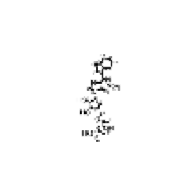 O=P(O)(O)CP(=O)(O)OC[C@H]1O[C@@H](n2cnc3c(-n4ccc5ccccc54)nc(Cl)nc32)[C@@H](O)[C@H]1O